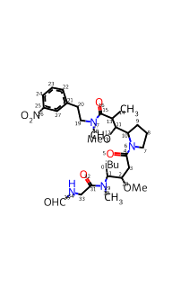 CCC(C)C(C(CC(=O)N1CCCC1C(OC)C(C)C(=O)N(C)CCc1cccc([N+](=O)[O-])c1)OC)N(C)C(=O)CNC=O